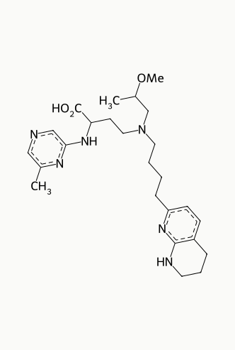 COC(C)CN(CCCCc1ccc2c(n1)NCCC2)CCC(Nc1cncc(C)n1)C(=O)O